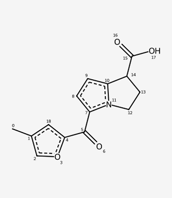 Cc1coc(C(=O)c2ccc3n2CCC3C(=O)O)c1